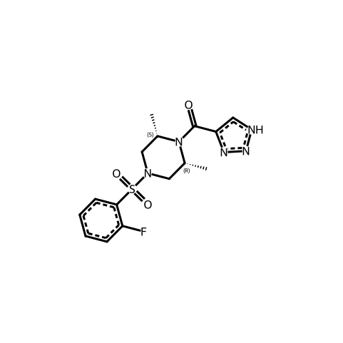 C[C@@H]1CN(S(=O)(=O)c2ccccc2F)C[C@H](C)N1C(=O)c1c[nH]nn1